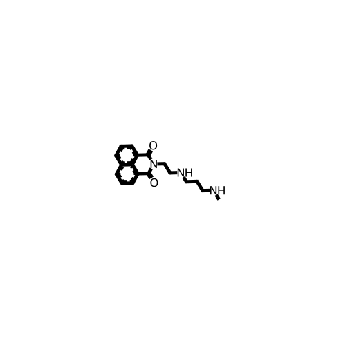 CNCCCNCCN1C(=O)c2cccc3cccc(c23)C1=O